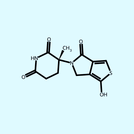 C[C@@]1(N2Cc3c(csc3O)C2=O)CCC(=O)NC1=O